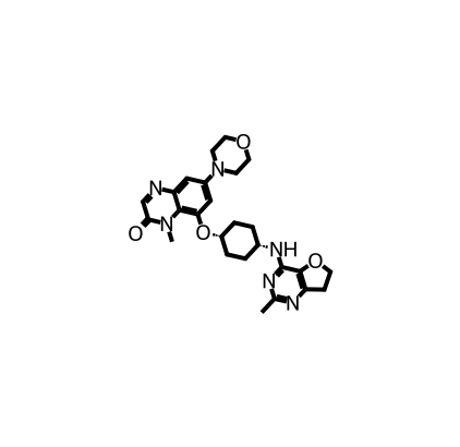 Cc1nc2c(c(N[C@H]3CC[C@@H](Oc4cc(N5CCOCC5)cc5ncc(=O)n(C)c45)CC3)n1)OCC2